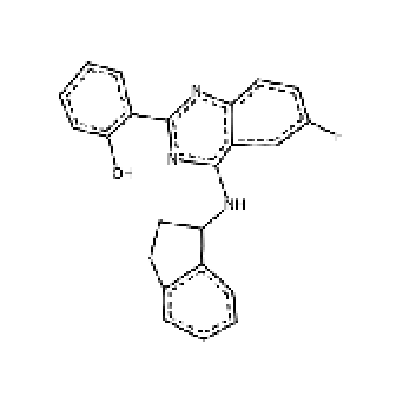 Oc1ccccc1-c1nc(NC2CCc3ccccc32)c2cc(F)ccc2n1